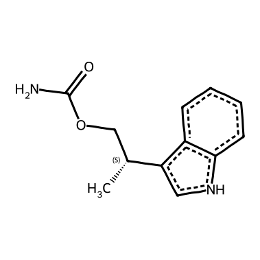 C[C@H](COC(N)=O)c1c[nH]c2ccccc12